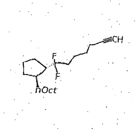 C#CCCCCC(F)(F)[C@H]1CCC[C@@H]1CCCCCCCC